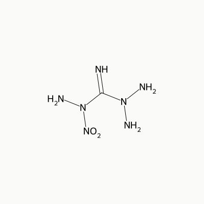 N=C(N(N)N)N(N)[N+](=O)[O-]